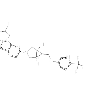 FC(F)Cn1ncc2ncc(N3C[C@@H]4C(COc5ccc(C(F)(F)F)nc5)[C@@H]4C3)nc21